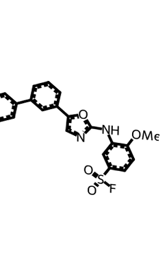 COc1ccc(S(=O)(=O)F)cc1Nc1ncc(-c2cccc(-c3ccccc3)c2)o1